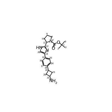 CC(C)(C)OC(=O)N1CCCC1c1nc(-c2ccc(C3CC(N)C3)cc2)c[nH]1